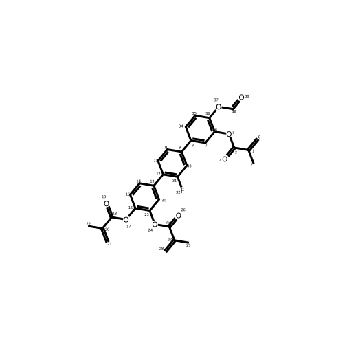 C=C(C)C(=O)Oc1cc(-c2ccc(-c3ccc(OC(=O)C(=C)C)c(OC(=O)C(=C)C)c3)c(F)c2)ccc1OC=O